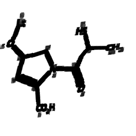 CCOC1C=C(C(=O)O)N(C(=O)C(C)S)C1